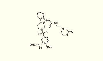 COc1ccc(S(=O)(=O)N2CCc3c(n(CC(=O)NCCN4CCOC(=O)C4)c4ccccc34)C2)cc1.O=CNO